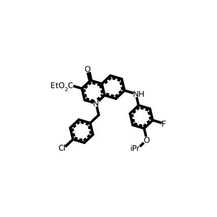 CCOC(=O)c1cn(Cc2ccc(Cl)cc2)c2cc(Nc3ccc(OC(C)C)c(F)c3)ccc2c1=O